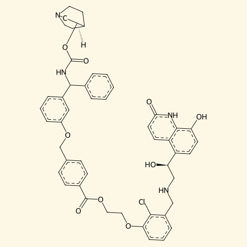 O=C(NC(c1ccccc1)c1cccc(OCc2ccc(C(=O)OCCOc3cccc(CNC[C@@H](O)c4ccc(O)c5[nH]c(=O)ccc45)c3Cl)cc2)c1)O[C@H]1CN2CCC1CC2